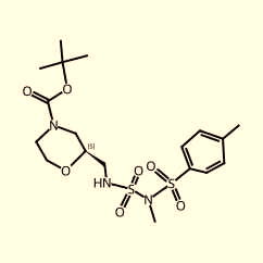 Cc1ccc(S(=O)(=O)N(C)S(=O)(=O)NC[C@@H]2CN(C(=O)OC(C)(C)C)CCO2)cc1